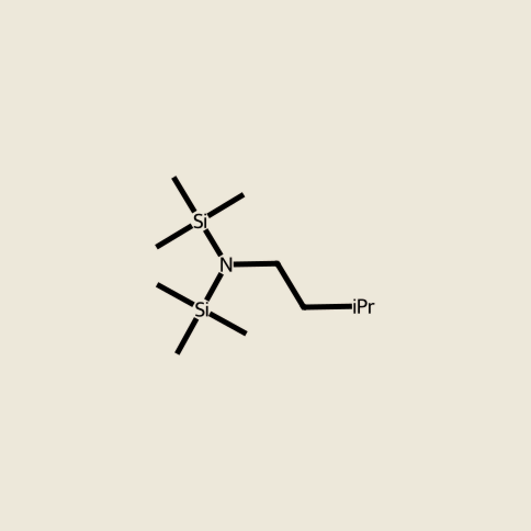 CC(C)CCN([Si](C)(C)C)[Si](C)(C)C